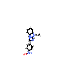 Cn1c2ccccc2n2cc(-c3ccc(NO)cc3)nc12